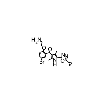 Cc1[nH]c(-c2nnc(C3CC3)o2)c(C)c1C(=O)c1cc(Br)ccc1OCCN